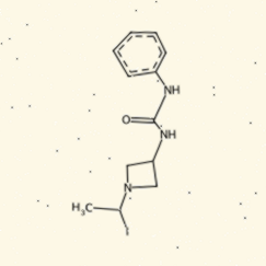 CC(I)N1CC(NC(=O)Nc2ccccc2)C1